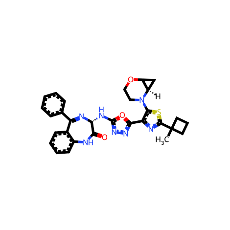 CC1(c2nc(-c3nnc(N[C@H]4N=C(c5ccccc5)c5ccccc5NC4=O)o3)c(N3CCOC4C[C@H]43)s2)CCC1